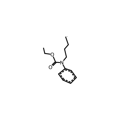 [CH2]CCCN(C(=O)OCC)c1ccccc1